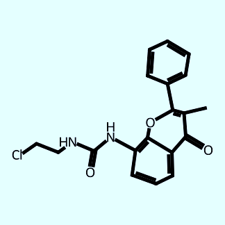 Cc1c(-c2ccccc2)oc2c(NC(=O)NCCCl)cccc2c1=O